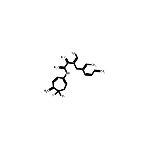 C=C/C=C\C(=C/C)C/C(=C/C)C(=C)C(=C)NC1=CCC(CC)(CCC)C(=C)C=C1